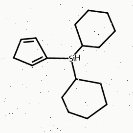 [C]1=C([SiH](C2CCCCC2)C2CCCCC2)C=CC1